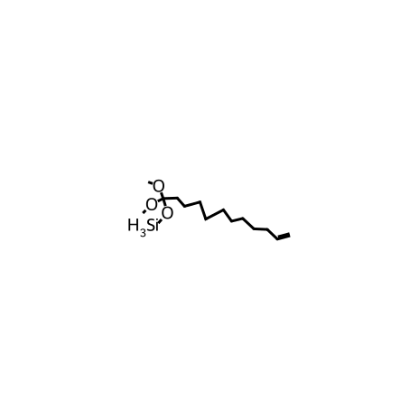 C=CCCCCCCCCCC(OC)(OC)O[SiH3]